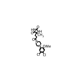 COc1cc(Cl)c(Cl)cc1N1CCN(C(=O)CC[C@@]2(C)NC(=O)NC2=O)CC1